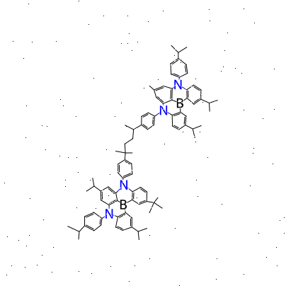 Cc1cc2c3c(c1)N(c1ccc(C(C)CCC(C)(C)c4ccc(N5c6ccc(C(C)(C)C)cc6B6c7cc(C(C)C)ccc7N(c7ccc(C(C)C)cc7)c7cc(C(C)C)cc5c76)cc4)cc1)c1ccc(C(C)C)cc1B3c1cc(C(C)C)ccc1N2c1ccc(C(C)C)cc1